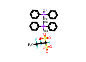 CC(C)(C)[I+](c1ccccc1)(c1ccccc1)C(C)(C)C.CC(C)(C)[I+](c1ccccc1)(c1ccccc1)C(C)(C)C.O=S(=O)([O-])C(F)(C(F)(F)C(F)(F)C(F)(F)F)S(=O)(=O)[O-]